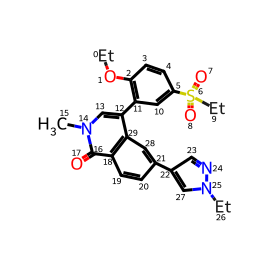 CCOc1ccc(S(=O)(=O)CC)cc1-c1cn(C)c(=O)c2ccc(-c3cnn(CC)c3)cc12